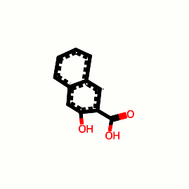 O=C(O)c1[c]c2ccccc2cc1O